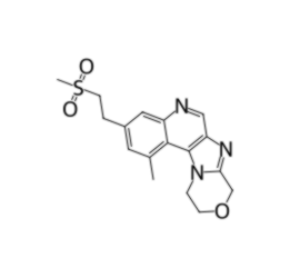 Cc1cc(CCS(C)(=O)=O)cc2ncc3nc4n(c3c12)CCOC4